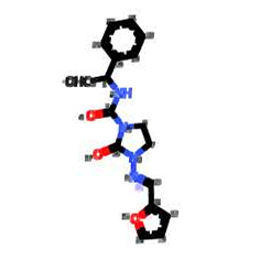 O=[C]C(NC(=O)N1CCN(/N=C/c2ccco2)C1=O)c1ccccc1